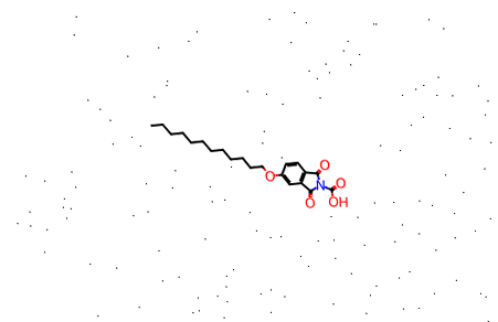 CCCCCCCCCCCCOc1ccc2c(c1)C(=O)N(C(=O)O)C2=O